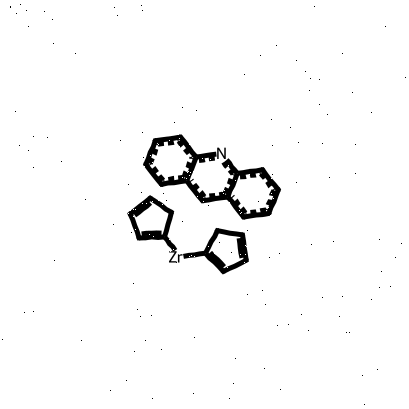 C1=CC[C]([Zr][C]2=CC=CC2)=C1.c1ccc2nc3ccccc3cc2c1